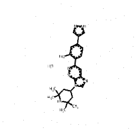 CC1(C)CC(n2cnc3cc(-c4ccc(-c5cn[nH]c5)cc4O)nnc32)CC(C)(C)N1.Cl